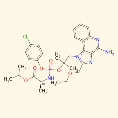 CCOCc1nc2c(N)nc3ccccc3c2n1CC(C)(C)OP(=O)(N[C@@H](C)C(=O)OC(C)C)Oc1ccc(Cl)cc1